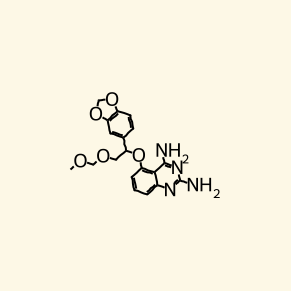 COCOCC(Oc1cccc2nc(N)nc(N)c12)c1ccc2c(c1)OCO2